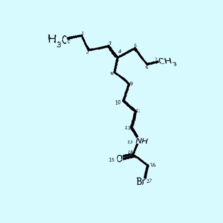 CCCCC(CCC)CCCCCNC(=O)CBr